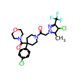 CC1C(Cl)C(C(F)(F)F)=NN1CC(=O)N1CCC(C(=O)N2CCOCC2)(c2ccc(Cl)cc2)CC1